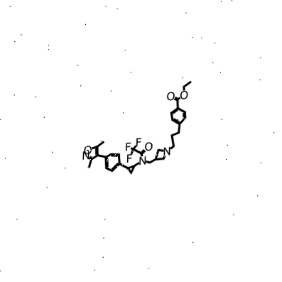 CCOC(=O)c1ccc(CCCN2CC(CN(C(=O)C(F)(F)F)C3CC3c3ccc(-c4c(C)noc4C)cc3)C2)cc1